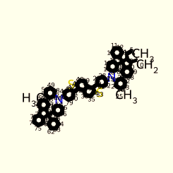 C=CC1=C(/C=C\C)C(c2ccccc2)(c2cccc(N(c3cccc(C)c3)c3ccc4c(c3)sc3ccc5c(ccc6sc7cc(N(c8cccc(C)c8)c8cccc(C9(c%10ccccc%10)c%10ccccc%10-c%10ccccc%109)c8)ccc7c65)c34)c2)c2ccccc21